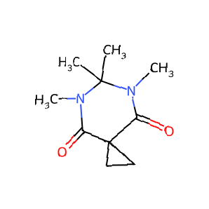 CN1C(=O)C2(CC2)C(=O)N(C)C1(C)C